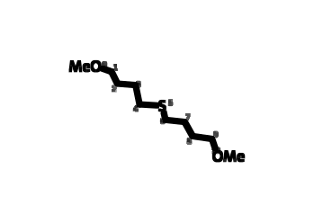 COCCCCSCCCCOC